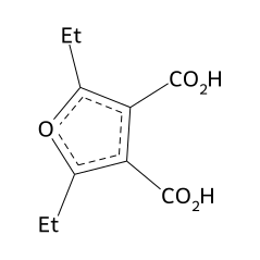 CCc1oc(CC)c(C(=O)O)c1C(=O)O